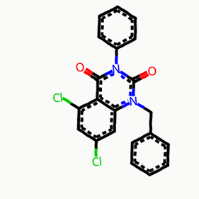 O=c1c2c(Cl)cc(Cl)cc2n(Cc2ccccc2)c(=O)n1-c1ccccc1